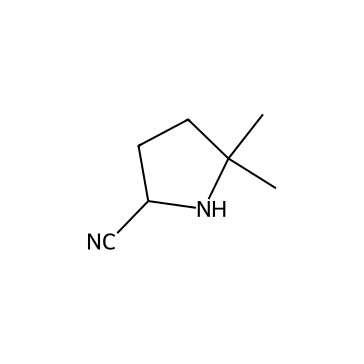 CC1(C)CCC(C#N)N1